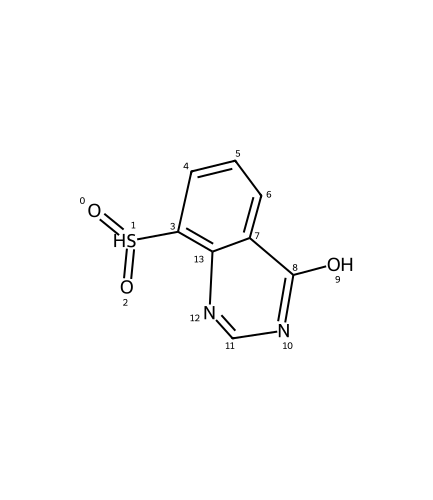 O=[SH](=O)c1cccc2c(O)ncnc12